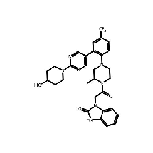 CC1CN(c2ccc(C(F)(F)F)cc2-c2cnc(N3CCC(O)CC3)nc2)CCN1C(=O)Cn1c(=O)[nH]c2ccccc21